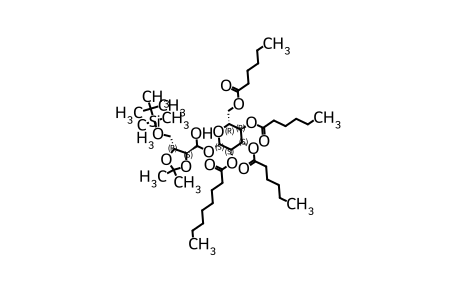 CCCCCCCC(=O)O[C@@H]1[C@H](OC(O)[C@H]2OC(C)(C)O[C@@H]2CO[Si](C)(C)C(C)(C)C)O[C@H](COC(=O)CCCCC)[C@@H](OC(=O)CCCCC)[C@@H]1OC(=O)CCCCC